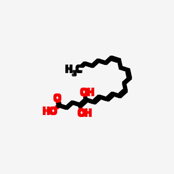 CCCCC/C=C\C/C=C\C\C=C/C=C/C=C/C(O)=C(O)CCC(=O)O